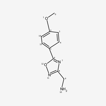 COc1ccc(-c2nc(CN)no2)cc1